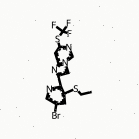 CCSc1cc(Br)cnc1-c1cn2cnc(SC(F)(F)F)cc2n1